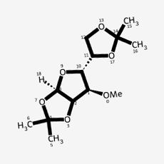 CO[C@H]1C2OC(C)(C)O[C@H]2O[C@@H]1C1COC(C)(C)O1